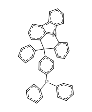 c1ccc(P(c2ccccc2)c2ccc(C3(c4ccccc4)c4ccccc4-n4c5ccccc5c5cccc3c54)cc2)cc1